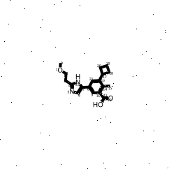 COCCc1ncc(-c2cc(C(=O)O)c(C)c(C3CCC3)c2)[nH]1